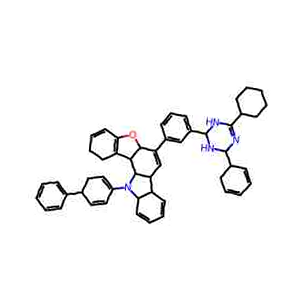 C1=CCC(C2N=C(C3CCCCC3)NC(c3cccc(C4=CC5C6C=CC=CC6N(C6=CCC(c7ccccc7)C=C6)C5C5C6=C(C=CCC6)OC45)c3)N2)C=C1